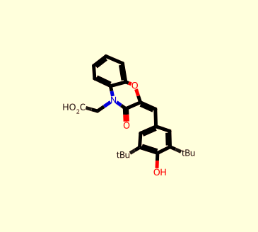 CC(C)(C)c1cc(C=C2Oc3ccccc3N(CC(=O)O)C2=O)cc(C(C)(C)C)c1O